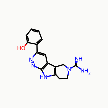 N=C(N)N1CCc2[nH]c3nnc(-c4ccccc4O)cc3c2C1